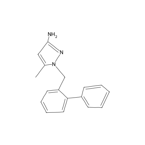 Cc1cc(N)nn1Cc1ccccc1-c1ccccc1